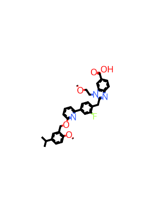 COCCn1c(Cc2ccc(-c3cccc(OCc4cc(C(C)C)ccc4OC)n3)cc2F)nc2ccc(C(=O)O)cc21